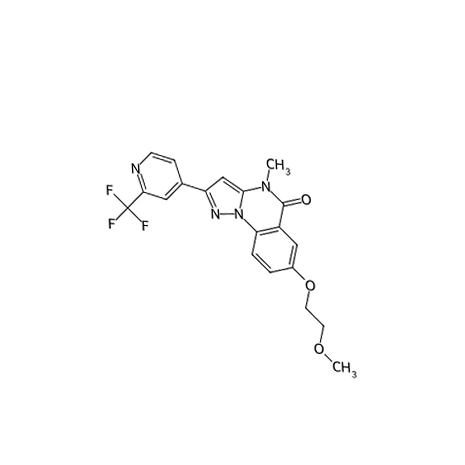 COCCOc1ccc2c(c1)c(=O)n(C)c1cc(-c3ccnc(C(F)(F)F)c3)nn21